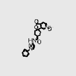 O=C1OC2(CCC(C(=O)Nc3ccn(-c4ccccc4)n3)CC2)c2c[n+]([O-])ccc21